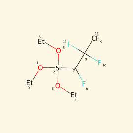 CCO[Si](OCC)(OCC)C(F)C(F)(F)C(F)(F)F